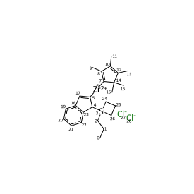 CCC[Si]1(C2[C]([Zr+2][C]3=C(C)C(C)=C(C)C3(C)C)=Cc3ccccc32)CCC1.[Cl-].[Cl-]